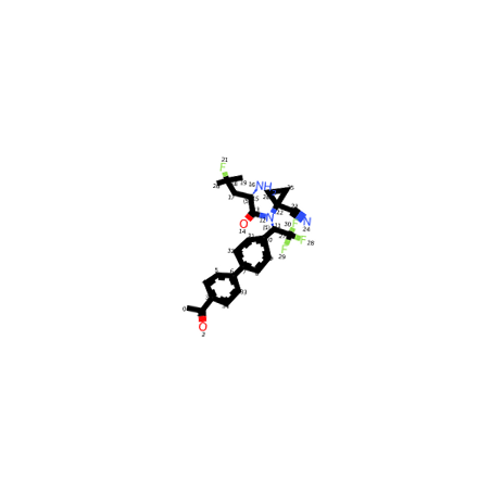 CC(=O)c1ccc(-c2ccc([C@H](N(C(=O)[C@@H](N)CC(C)(C)F)C3(C#N)CC3)C(F)(F)F)cc2)cc1